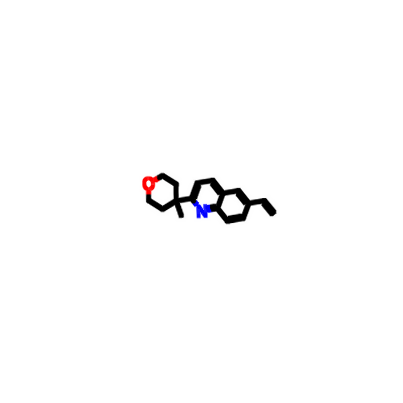 C=Cc1ccc2nc(C3(C)CCOCC3)ccc2c1